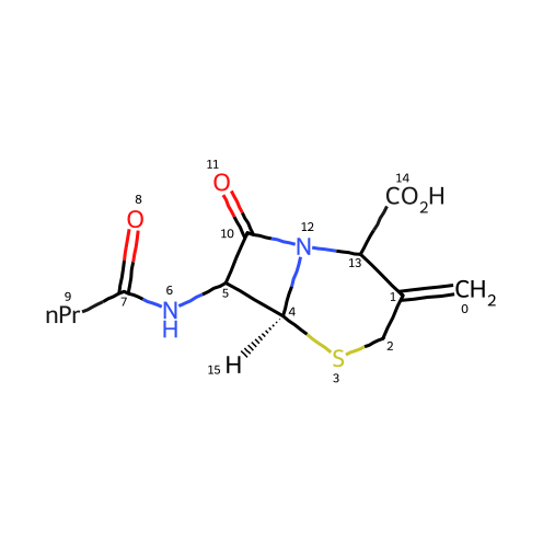 C=C1CS[C@H]2C(NC(=O)CCC)C(=O)N2C1C(=O)O